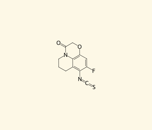 O=C1COc2cc(F)c(N=C=S)c3c2N1CCC3